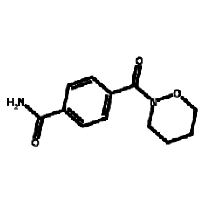 NC(=O)c1ccc(C(=O)N2CCCCO2)cc1